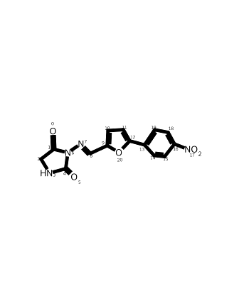 O=C1CNC(=O)N1N=Cc1ccc(-c2ccc([N+](=O)[O-])cc2)o1